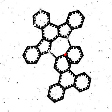 c1ccc(-n2c3ccccc3c3c4cncnc4c4c5ccccc5n(-c5ccc6c7ccccc7c7ccccc7c6c5)c4c32)cc1